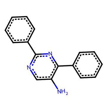 Nc1cnc(-c2ccccc2)nc1-c1ccccc1